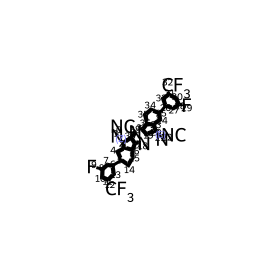 [C-]#[N+]/N=c1/c2cc(-c3cc(F)cc(C(F)(F)F)c3)ccc2c2nc3/c(=N/[N+]#[C-])c4cc(-c5cc(F)cc(C(F)(F)F)c5)ccc4c3nc12